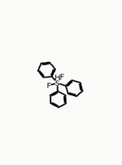 F[SH](F)(c1ccccc1)(c1ccccc1)c1ccccc1